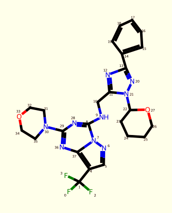 FC(F)(F)c1cnn2c(NCc3nc(-c4ccccc4)nn3C3CCCCO3)nc(N3CCOCC3)nc12